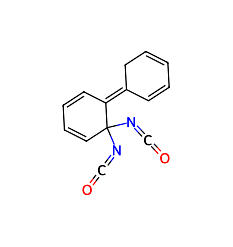 O=C=NC1(N=C=O)C=CC=CC1=C1C=CC=CC1